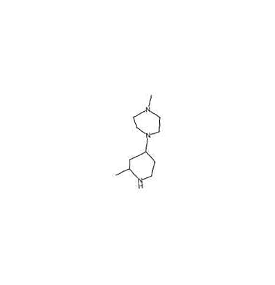 CC1CC(N2CCN(C)CC2)CCN1